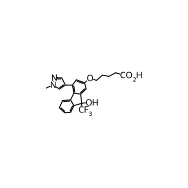 Cn1cc(-c2cc(OCCCCC(=O)O)cc3c2-c2ccccc2C3(O)C(F)(F)F)cn1